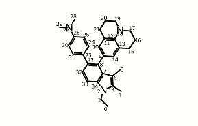 CCn1c(C)c(C)c2c(-c3cc4c5c(c3)CCCN5CCC4)c(-c3ccc(N(C)C)cc3)ccc21